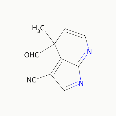 CC1(C=O)C=CN=C2N=CC(C#N)=C21